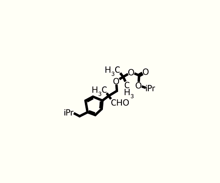 CC(C)Cc1ccc(C(C)(C=O)COC(C)(C)OC(=O)OC(C)C)cc1